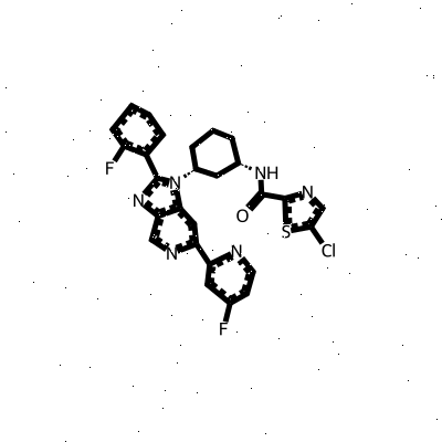 O=C(N[C@H]1CCC[C@@H](n2c(-c3ccccc3F)nc3cnc(-c4cc(F)ccn4)cc32)C1)c1ncc(Cl)s1